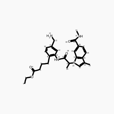 CCOC(=O)CCCc1ccc(CN)cc1NC(=O)C(C)n1cc(C)c2ccc(C(=O)NC)cc21